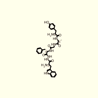 C[C@@H](NC(=O)[C@@H](N)Cc1ccc(O)cc1)C(=O)NCC(=O)N[C@@H](Cc1ccccc1)C(=O)NNC(=O)[C@@H](N)Cc1c[nH]c2ccccc12